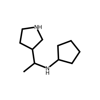 CC(NC1CCCC1)C1CCNC1